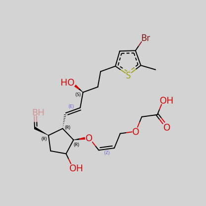 B=C[C@@H]1CC(O)[C@H](O/C=C\COCC(=O)O)[C@H]1/C=C/[C@@H](O)CCc1cc(Br)c(C)s1